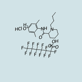 CCCCN1CCCCC1C(=O)Nc1c(C)cccc1C.Cl.O.O=S(=O)(O)C(F)(F)C(F)(F)C(F)(F)C(F)(F)C(F)(F)C(F)(F)F